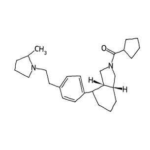 CC1CCCN1CCc1ccc(C2CCC[C@H]3CN(C(=O)C4CCCC4)C[C@@H]23)cc1